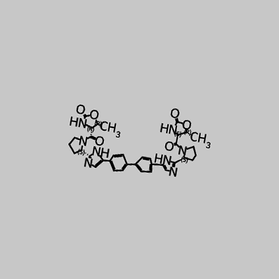 C[C@H]1OC(=O)N[C@@H]1C(=O)N1CCC[C@H]1c1ncc(-c2ccc(-c3ccc(-c4cnc([C@@H]5CCCN5C(=O)[C@@H]5NC(=O)O[C@@H]5C)[nH]4)cc3)cc2)[nH]1